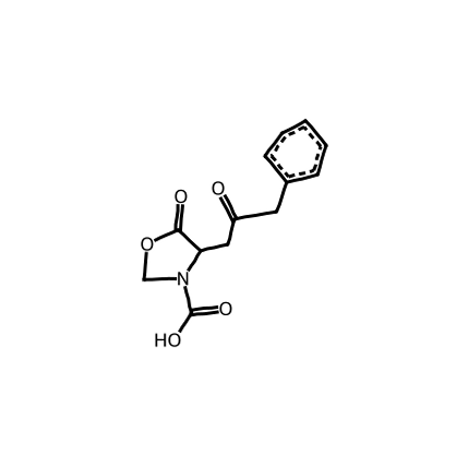 O=C(Cc1ccccc1)CC1C(=O)OCN1C(=O)O